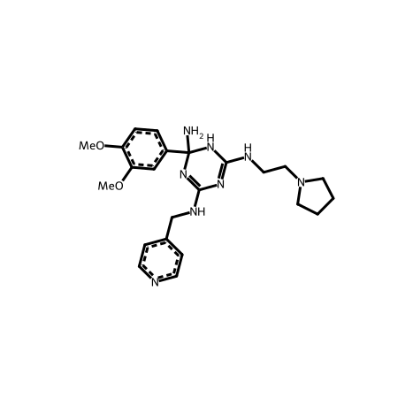 COc1ccc(C2(N)N=C(NCc3ccncc3)N=C(NCCN3CCCC3)N2)cc1OC